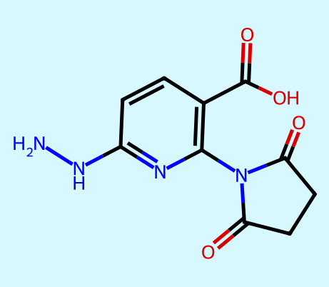 NNc1ccc(C(=O)O)c(N2C(=O)CCC2=O)n1